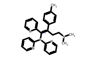 Cc1ccc(/C(CCN(C)C)=C(/B(c2ccccn2)c2ccccn2)c2ccccn2)cc1